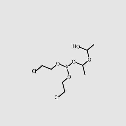 CC(O)OC(C)OP(OCCCl)OCCCl